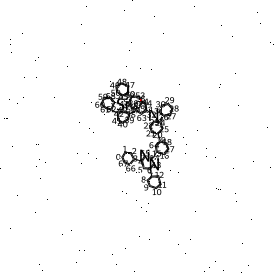 c1ccc(-c2cc(-c3ccccc3)nc(-c3cccc(-c4ccc5c(c4)c4ccccc4n5-c4cccc(-c5cccc6c5[Si](c5ccccc5)(c5ccccc5)c5ccccc5-6)c4)c3)n2)cc1